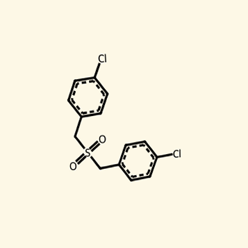 O=S(=O)(Cc1ccc(Cl)cc1)Cc1ccc(Cl)cc1